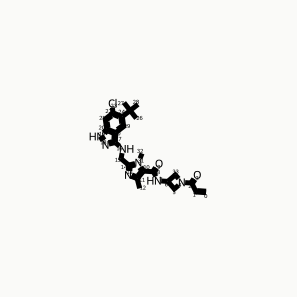 C=CC(=O)N1CC(NC(=O)c2c(C)nc(CNc3n[nH]c4cc(Cl)c(C(C)(C)C)cc34)n2C)C1